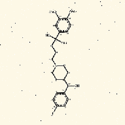 CCCCC(C#N)(CCCN1CCC(C(O)c2ccc(F)cc2)CC1)c1ccc(OC)c(OC)c1